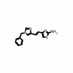 Nc1nc(/C=C/c2cn(Cc3ccccc3)cn2)cs1